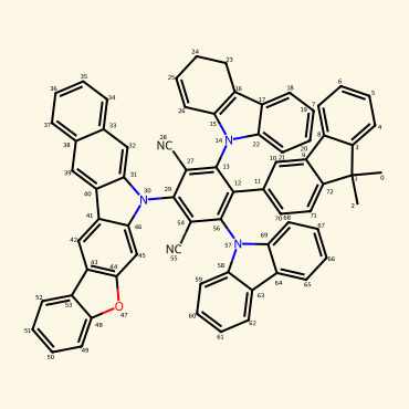 CC1(C)c2ccccc2-c2cc(-c3c(-n4c5c(c6ccccc64)CCC=C5)c(C#N)c(-n4c5cc6ccccc6cc5c5cc6c(cc54)oc4ccccc46)c(C#N)c3-n3c4ccccc4c4ccccc43)ccc21